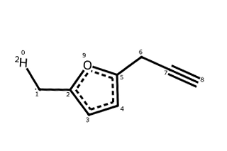 [2H][CH]c1ccc(CC#C)o1